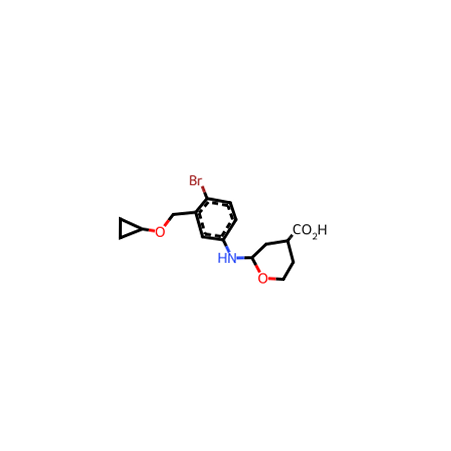 O=C(O)C1CCOC(Nc2ccc(Br)c(COC3CC3)c2)C1